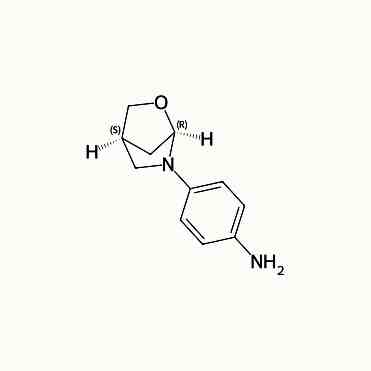 Nc1ccc(N2C[C@H]3CO[C@@H]2C3)cc1